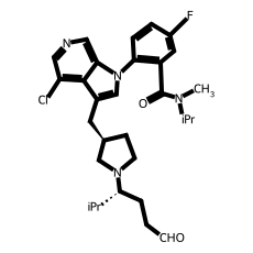 CC(C)[C@@H](CCC=O)N1CC[C@H](Cc2cn(-c3ccc(F)cc3C(=O)N(C)C(C)C)c3cncc(Cl)c23)C1